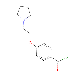 O=C(Br)c1ccc(OCCN2CCCC2)cc1